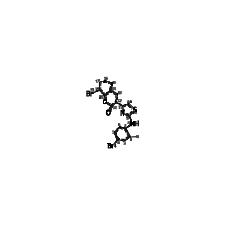 Cc1cc(Br)ccc1Nc1nc(-c2cc3cccc(Br)c3oc2=O)cs1